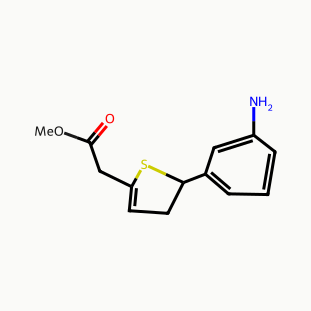 COC(=O)CC1=CCC(c2cccc(N)c2)S1